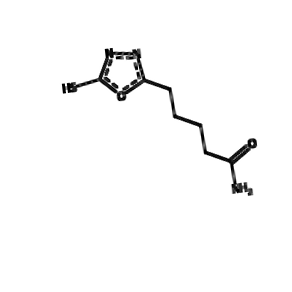 NC(=O)CCCCc1nnc(S)o1